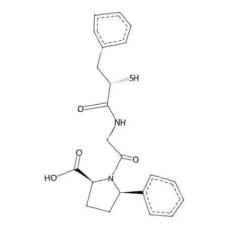 O=C(NCC(=O)N1[C@@H](c2ccccc2)CC[C@H]1C(=O)O)[C@@H](S)Cc1ccccc1